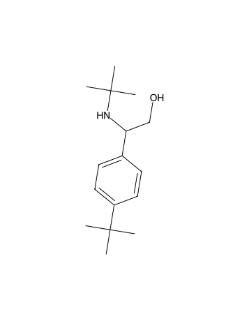 CC(C)(C)NC(CO)c1ccc(C(C)(C)C)cc1